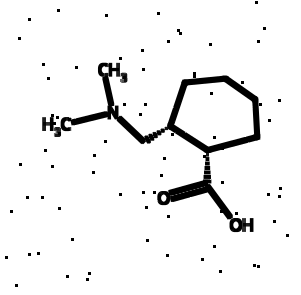 CN(C)C[C@@H]1CCCC[C@@H]1C(=O)O